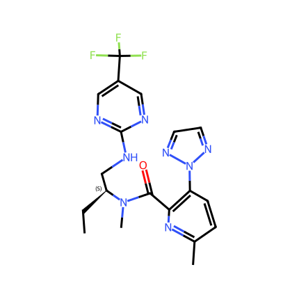 CC[C@@H](CNc1ncc(C(F)(F)F)cn1)N(C)C(=O)c1nc(C)ccc1-n1nccn1